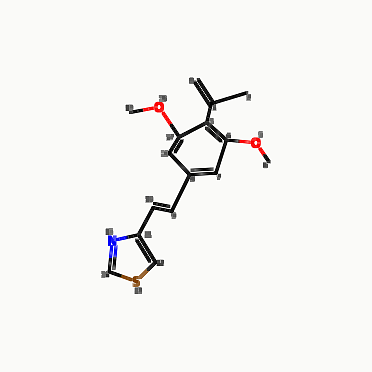 C=C(C)c1c(OC)cc(C=Cc2cscn2)cc1OC